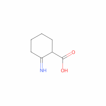 N=C1CCCCC1C(=O)O